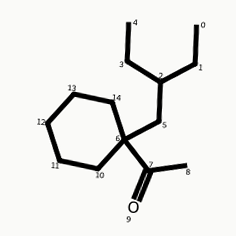 CCC(CC)CC1(C(C)=O)CCCCC1